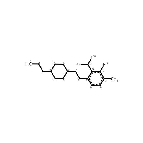 CCCC1CCC(CCc2ccc(C)c(F)c2C(F)F)CC1